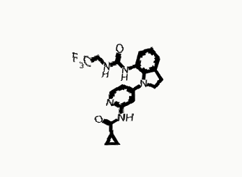 O=C(NCC(F)(F)F)Nc1cccc2c1N(c1ccnc(NC(=O)C3CC3)c1)CC2